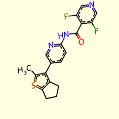 Cc1sc2c(c1-c1ccc(NC(=O)c3c(F)cncc3F)nc1)CCC2